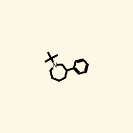 CC(C)(C)N1CCCCC(c2ccccc2)C1